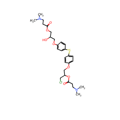 CN(C)CCC(=O)OCC(O)COc1ccc(Sc2ccc(OCC(CCl)OC(=O)CCN(C)C)cc2)cc1